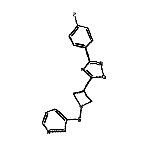 Fc1ccc(-c2noc(C3CN(Sc4cccnc4)C3)n2)cc1